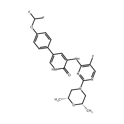 C[C@@H]1CN(c2ncc(F)c(Nc3cc(-c4ccc(OC(F)F)cc4)c[nH]c3=O)n2)C[C@H](C)O1